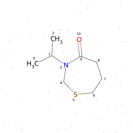 CC(C)N1CSCCCC1=O